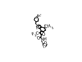 CC(=O)N1CCC(Cn2cc3c(n2)-c2c(oc(C(=O)NC[C@@H]4COCCO4)c2C(F)(F)F)C[C@@H]3C)CC1